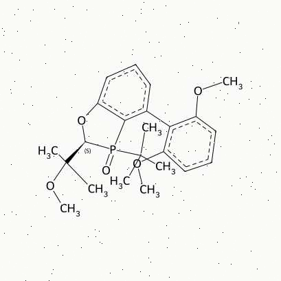 COc1cccc(OC)c1-c1cccc2c1P(=O)(C(C)(C)C)[C@@H](C(C)(C)OC)O2